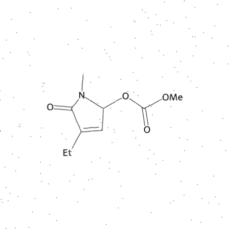 CCC1=CC(OC(=O)OC)N(C)C1=O